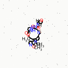 CCn1c(-c2cccnc2[C@H](C)OC)c2c3cc(ccc31)-c1csc(n1)C[C@H](NC(=O)N1C[C@@H]3COCC[C@@H]31)C(=O)N1CCC[C@H](N1)C(=O)OCC(C)(C)C2